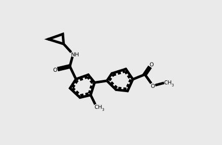 COC(=O)c1ccc(-c2cc(C(=O)NC3CC3)ccc2C)cc1